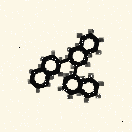 [c]1c(-c2ccc3ccccc3c2)c(-c2cccc3ccccc23)cc2ccccc12